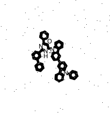 C[C@@]12C=CC(c3ccc4c(c3)c3c(n4-c4ccccc4)CCC=C3)=CC1c1ccccc1N2C1NC(c2cccc(-c3ccccc3)c2)=NC2=C1OC1C=CC=CC21